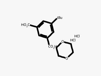 C1COCCO1.CC(C)(C)c1cc(C(=O)O)cc(C(=O)O)c1.Cl.Cl